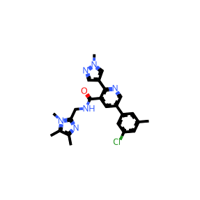 Cc1cc(Cl)cc(-c2cnc(-c3cnn(C)c3)c(C(=O)NCc3nc(C)c(C)n3C)c2)c1